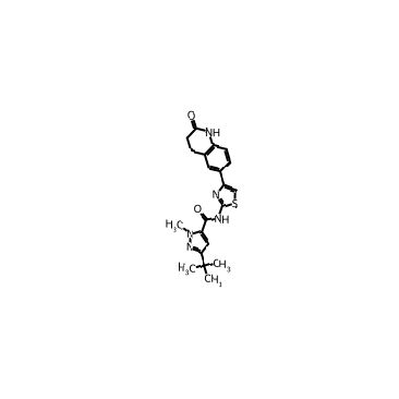 Cn1nc(C(C)(C)C)cc1C(=O)Nc1nc(-c2ccc3c(c2)CCC(=O)N3)cs1